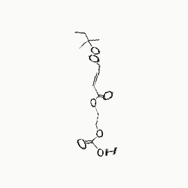 CCC(C)(C)OOC=CC(=O)OCCOC(=O)O